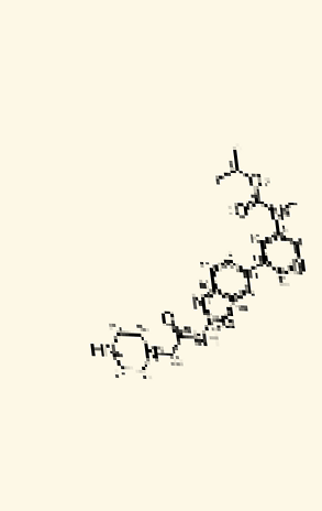 CC(C)OC(=O)N(C)c1cncc(-c2ccc3nc(NC(=O)CN4CCNCC4)sc3c2)c1